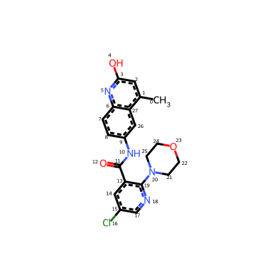 Cc1cc(O)nc2ccc(NC(=O)c3cc(Cl)cnc3N3CCOCC3)cc12